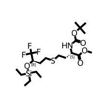 CC[Si](CC)(CC)O[C@H](CCSCC[C@H](NC(=O)OC(C)(C)C)C(=O)OC)C(F)(F)F